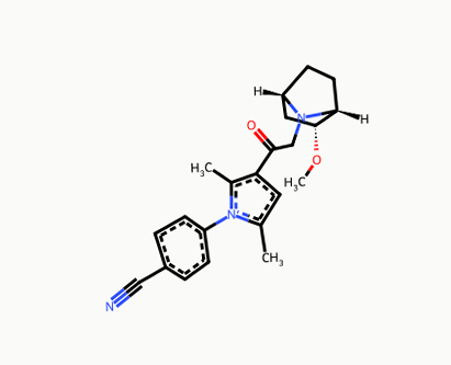 CO[C@@H]1C[C@@H]2CC[C@H]1N2CC(=O)c1cc(C)n(-c2ccc(C#N)cc2)c1C